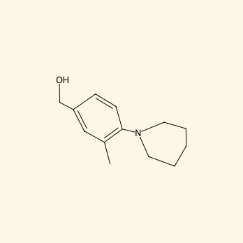 Cc1cc(CO)ccc1N1CCCCC1